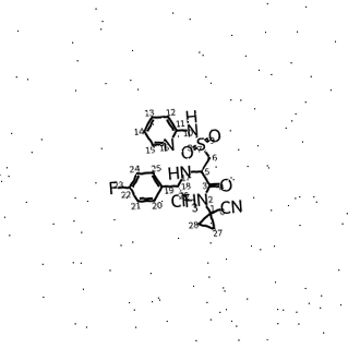 N#CC1(NC(=O)[C@H](CS(=O)(=O)Nc2ccccn2)N[C@@H](c2ccc(F)cc2)C(F)(F)F)CC1